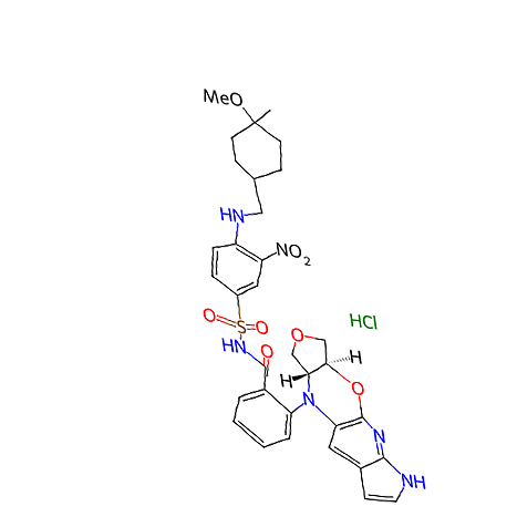 COC1(C)CCC(CNc2ccc(S(=O)(=O)NC(=O)c3ccccc3N3c4cc5cc[nH]c5nc4O[C@@H]4COC[C@H]43)cc2[N+](=O)[O-])CC1.Cl